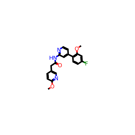 COc1ccc(CC(=O)Nc2cc(-c3ccc(F)cc3OC)ccn2)cn1